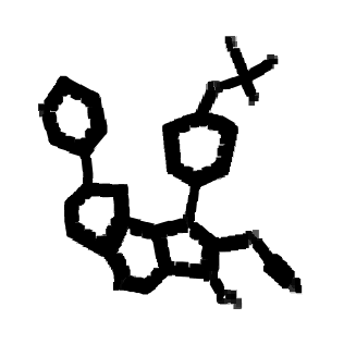 Cn1c(=NC#N)n(-c2ccc(OC(F)(F)F)cc2)c2c3cc(-c4cccnc4)ccc3ncc21